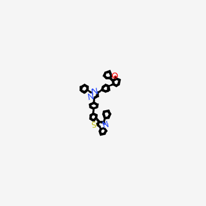 c1ccc(-c2nc(-c3ccc(-c4ccc5sc6c7ccccc7nc(-c7ccccc7)c6c5c4)cc3)cc(-c3ccc(-c4cccc5oc6ccccc6c45)cc3)n2)cc1